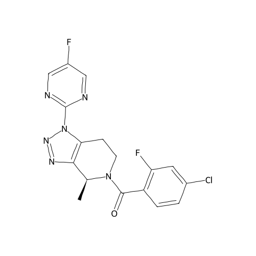 C[C@H]1c2nnn(-c3ncc(F)cn3)c2CCN1C(=O)c1ccc(Cl)cc1F